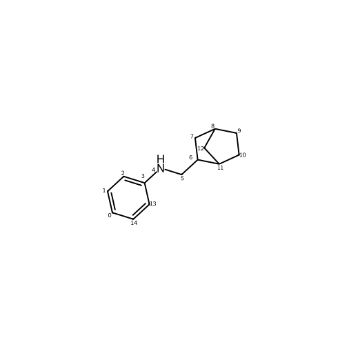 c1ccc(NCC2CC3CCC2C3)cc1